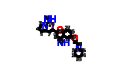 N=Cn1cccc1/C=C(\I)c1cc(=N)c2cc(OCCN3CCCCC3)ccc2o1